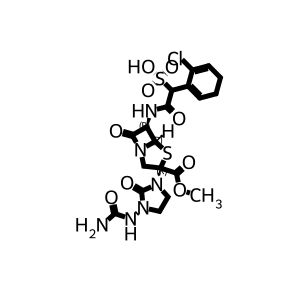 COC(=O)[C@@]1(N2CCN(NC(N)=O)C2=O)CN2C(=O)[C@@H](NC(=O)C(C3=CCCC=C3Cl)S(=O)(=O)O)[C@H]2S1